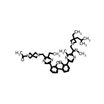 CCc1nc(-c2cccc(-c3cccc(-c4cnc(/C(CN5CC(CC)(CC(C)C)C5)=N\C)c(C)n4)c3Cl)c2C)cnc1CN1CC2(C1)CN(C(C)=O)C2